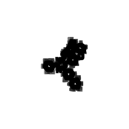 C1=CC2=C(CC1)[C@]1(c3ccccc3O2)c2ccccc2-c2ccc(-c3nc(-c4ccccc4)nc(-c4ccc(-c5ccccc5)cc4)n3)cc21